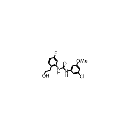 COc1cc(Cl)cc(NC(=O)Nc2cc(F)ccc2CCO)c1